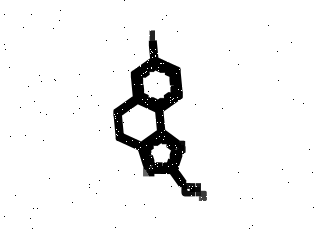 Cc1nc2c(s1)-c1ccc(I)cc1CC2